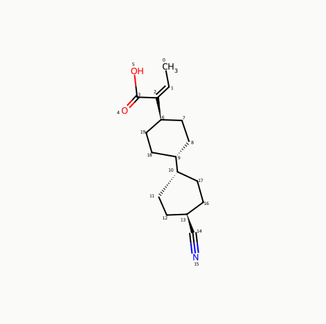 CC=C(C(=O)O)[C@H]1CC[C@H]([C@H]2CC[C@H](C#N)CC2)CC1